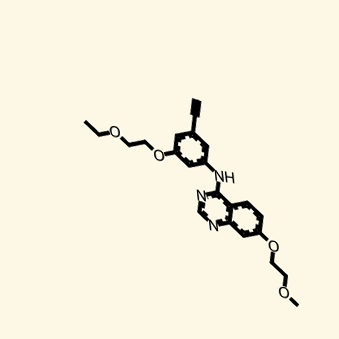 C#Cc1cc(Nc2ncnc3cc(OCCOC)ccc23)cc(OCCOCC)c1